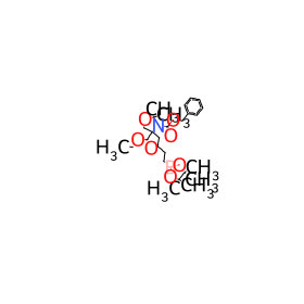 CCOC(=O)C1(CCCCB2OC(C)(C)C(C)(C)O2)COC(C)(C)N1C(=O)OCc1ccccc1